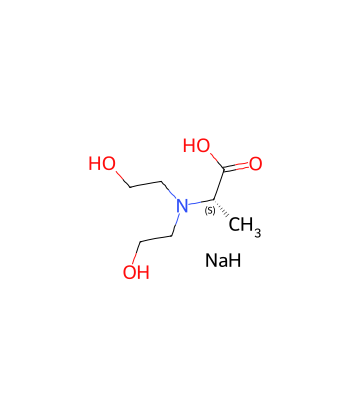 C[C@@H](C(=O)O)N(CCO)CCO.[NaH]